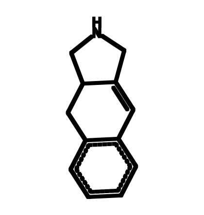 C1=C2CNCC2Cc2ccccc21